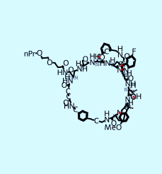 CCCOCCOCCC(=O)NC[C@@H]1NC(=O)CCC(=O)NCc2ccc(cc2)CCNC(=O)[C@]2(C)CCCN2C(=O)[C@H]([C@@H](C)c2ccc(OC)cc2)NC(=O)[C@H]([C@@H](C)O)NC(=O)[C@@H]2CCC(=O)NCc3cccc(c3)C[C@H](NC(=O)[C@@H](C)NC1=O)C(=O)N[C@@H](Cc1c[nH]c3ccc(F)cc13)C(=O)N2C